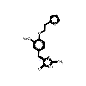 C=c1[nH]c(=O)/c(=C/c2ccc(OCCc3cccs3)c(OC)c2)s1